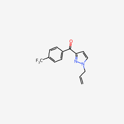 C=CCn1ccc(C(=O)c2ccc(C(F)(F)F)cc2)n1